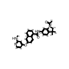 CNc1cc(Oc2ccc3c(C(=O)Nc4ccc5c(c4)N(C(C)=O)CC5(C)C)cccc3c2)ccn1